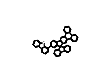 c1ccc2c(c1)-c1ccccc1C21c2cc(-c3cccc4c3sc3ccccc34)ccc2-c2cc3c4ccccc4c4ccccc4c3cc21